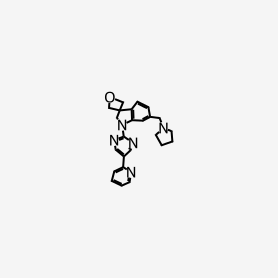 c1ccc(-c2cnc(N3CC4(COC4)c4ccc(CN5CCCC5)cc43)nc2)nc1